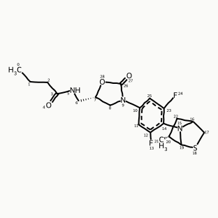 CCCC(=O)NC[C@H]1CN(c2cc(F)c(N3C4CSC3[C@H](C)C4)c(F)c2)C(=O)O1